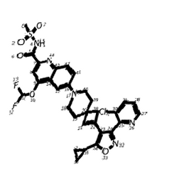 CS(=O)(=O)NC(=O)c1cc(OC(F)F)c2cc(N3CCC4(C=C(c5c(-c6ncccc6Cl)noc5C5CC5)C4)CC3)ccc2n1